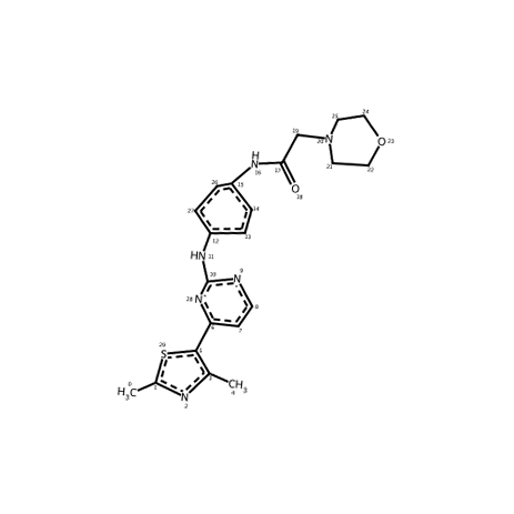 Cc1nc(C)c(-c2ccnc(Nc3ccc(NC(=O)CN4CCOCC4)cc3)n2)s1